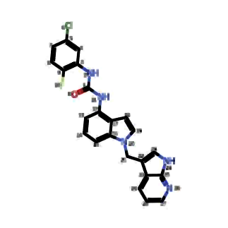 O=C(Nc1cc(Cl)ccc1F)Nc1cccc2c1ccn2Cc1c[nH]c2ncccc12